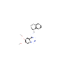 CCOc1cc2ncnc(NCc3cccc4ccccc34)c2cc1OCC